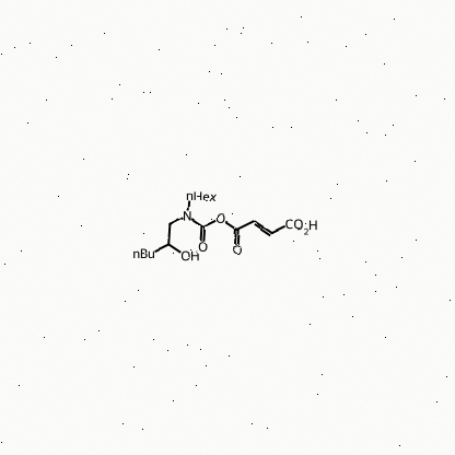 CCCCCCN(CC(O)CCCC)C(=O)OC(=O)C=CC(=O)O